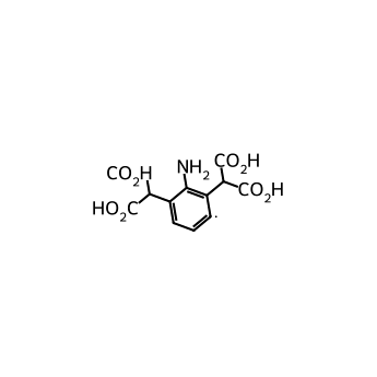 Nc1c(C(C(=O)O)C(=O)O)[c]ccc1C(C(=O)O)C(=O)O